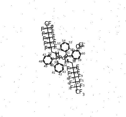 FC(F)(F)C(F)(F)C(F)(F)C(F)(F)C(F)(F)C(F)(F)CC[PH]([Pd+2][PH](CCC(F)(F)C(F)(F)C(F)(F)C(F)(F)C(F)(F)C(F)(F)F)(c1ccccc1)c1ccccc1)(c1ccccc1)c1ccccc1.[Cl-].[Cl-]